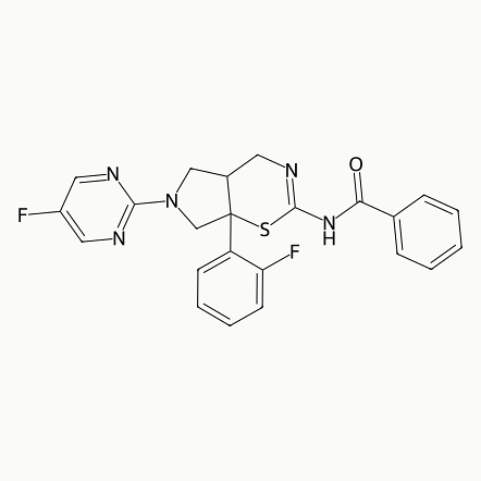 O=C(NC1=NCC2CN(c3ncc(F)cn3)CC2(c2ccccc2F)S1)c1ccccc1